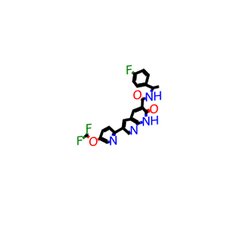 CC(NC(=O)c1cc2cc(-c3ccc(OC(F)F)cn3)cnc2[nH]c1=O)c1ccc(F)cc1